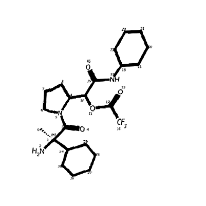 C[C@](N)(C(=O)N1CCCC1C(OC(=O)C(F)(F)F)C(=O)NC1CCCCC1)C1CCCCC1